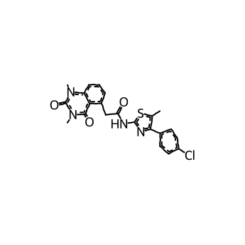 Cc1sc(NC(=O)Cc2cccc3c2c(=O)n(C)c(=O)n3C)nc1-c1ccc(Cl)cc1